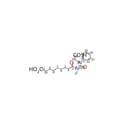 CN(C(=O)CCCCCCCC(=O)O)C(=O)N(CC(=O)O)c1ccccc1